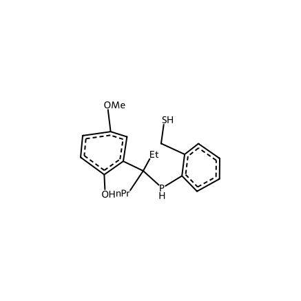 CCCC(CC)(Pc1ccccc1CS)c1cc(OC)ccc1O